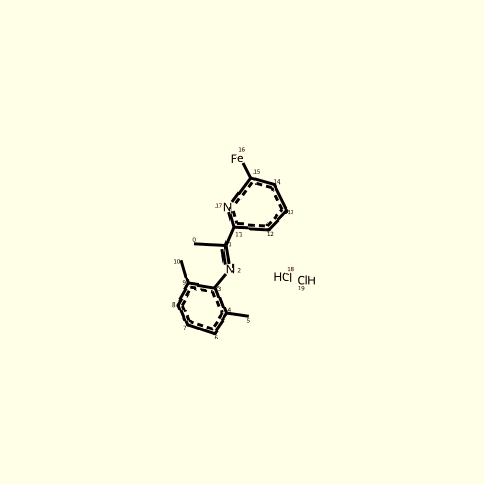 CC(=Nc1c(C)cccc1C)c1ccc[c]([Fe])n1.Cl.Cl